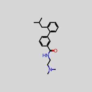 CC(C)Cc1ccccc1-c1cccc(C(=O)NCCN(C)C)c1